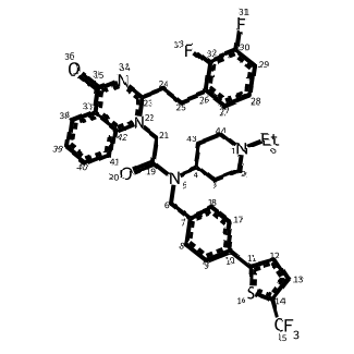 CCN1CCC(N(Cc2ccc(-c3ccc(C(F)(F)F)s3)cc2)C(=O)Cn2c(CCc3cccc(F)c3F)nc(=O)c3ccccc32)CC1